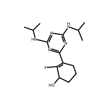 CC(C)Nc1nc(NC(C)C)nc(C2=C(F)C(O)CCC2)n1